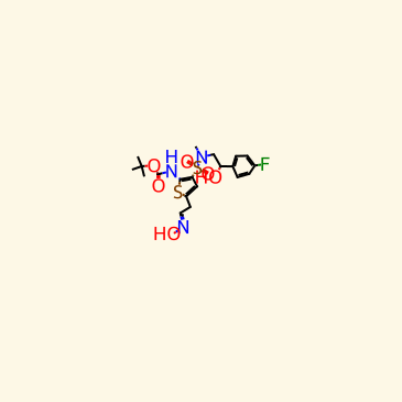 CN(CC(O)c1ccc(F)cc1)S(=O)(=O)c1cc(CC=NO)sc1NC(=O)OC(C)(C)C